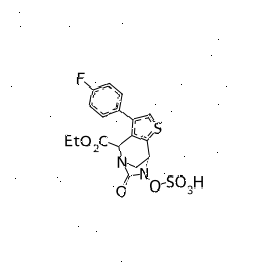 CCOC(=O)C1c2c(-c3ccc(F)cc3)csc2C2CN1C(=O)N2OS(=O)(=O)O